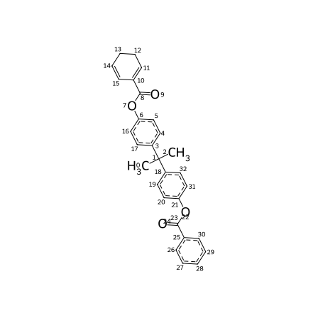 CC(C)(c1ccc(OC(=O)C2=CCCC=C2)cc1)c1ccc(OC(=O)c2ccccc2)cc1